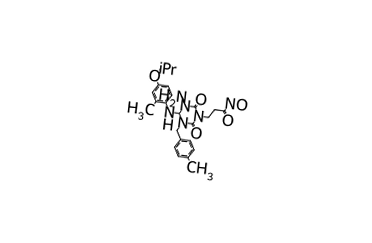 Cc1ccc(CN2C(=O)N(CCC(=O)N=O)C(=O)N(N)C2Nc2ccc(OC(C)C)cc2C)cc1